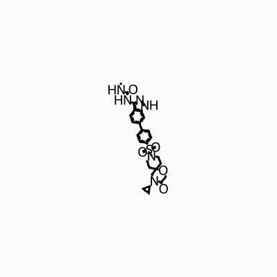 CNC(=O)Nc1n[nH]c2cc(-c3ccc(S(=O)(=O)N4CCC5(CC4)CN(C4CC4)C(=O)CO5)cc3)ccc12